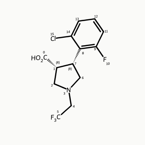 O=C(O)[C@H]1CN(CC(F)(F)F)C[C@H]1c1c(F)cccc1Cl